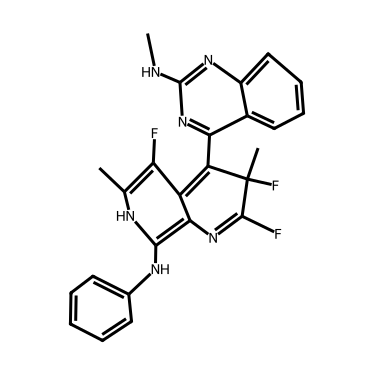 CNc1nc(C2=C3C(F)=C(C)NC(Nc4ccccc4)=C3N=C(F)C2(C)F)c2ccccc2n1